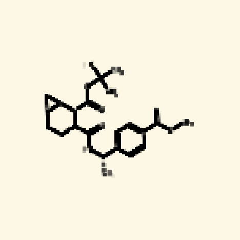 COC(=O)c1ccc([C@H](C)NC(=O)C2CCC3CC3N2C(=O)OC(C)(C)C)cc1